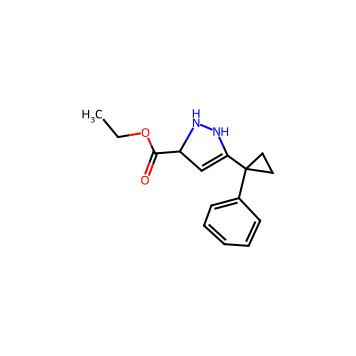 CCOC(=O)C1C=C(C2(c3ccccc3)CC2)NN1